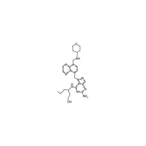 CCCC(CCO)Nc1nc(N)nc2cnn(Cc3ccc(CNC4CCOCC4)c4cccnc34)c12